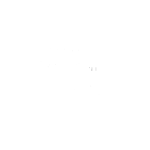 CCCCc1cccc2c1[nH]c1ccc3cc4ccccc4cc3c12